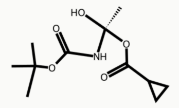 CC(C)(C)OC(=O)N[C@@](C)(O)OC(=O)C1CC1